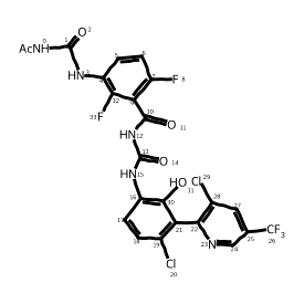 CC(=O)NC(=O)Nc1ccc(F)c(C(=O)NC(=O)Nc2ccc(Cl)c(-c3ncc(C(F)(F)F)cc3Cl)c2O)c1F